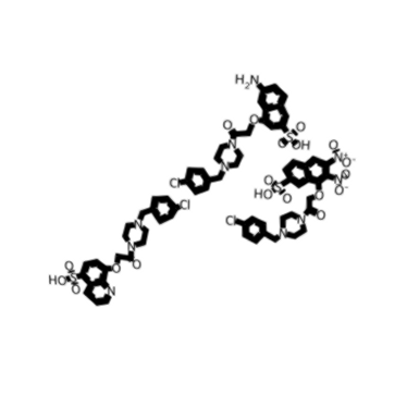 Nc1ccc2cc(S(=O)(=O)O)cc(OCC(=O)N3CCN(Cc4ccc(Cl)cc4)CC3)c2c1.O=C(COc1c([N+](=O)[O-])c([N+](=O)[O-])cc2ccc(S(=O)(=O)O)cc12)N1CCN(Cc2ccc(Cl)cc2)CC1.O=C(COc1ccc(S(=O)(=O)O)c2cccnc12)N1CCN(Cc2ccc(Cl)cc2)CC1